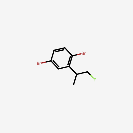 [CH2]C(CF)c1cc(Br)ccc1Br